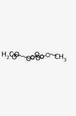 C=CC(=O)OCCCCCCOc1ccc(C(=O)Oc2ccc(C3CCC(CCCC)CC3)cc2)cc1